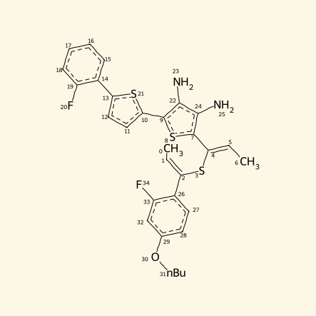 C/C=C(\S/C(=C\C)c1sc(-c2ccc(-c3ccccc3F)s2)c(N)c1N)c1ccc(OCCCC)cc1F